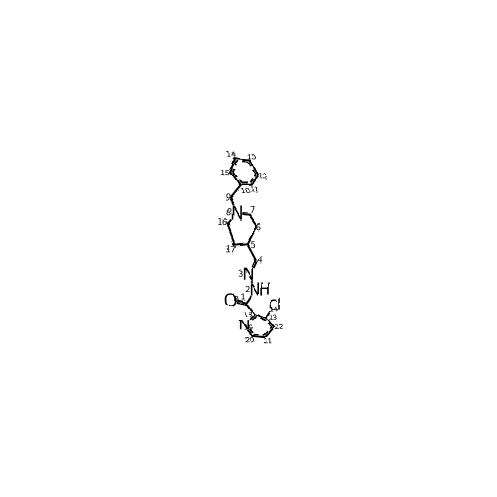 O=C(NN=CC1CCN(Cc2ccccc2)CC1)c1ncccc1Cl